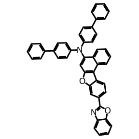 c1ccc(-c2ccc(N(c3ccc(-c4ccccc4)cc3)c3cc4oc5cc(-c6nc7ccccc7o6)ccc5c4c4ccccc34)cc2)cc1